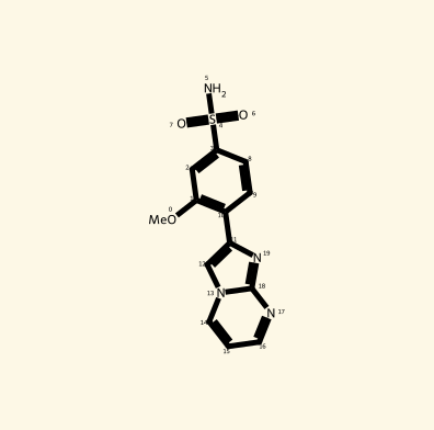 COc1cc(S(N)(=O)=O)ccc1-c1cn2cccnc2n1